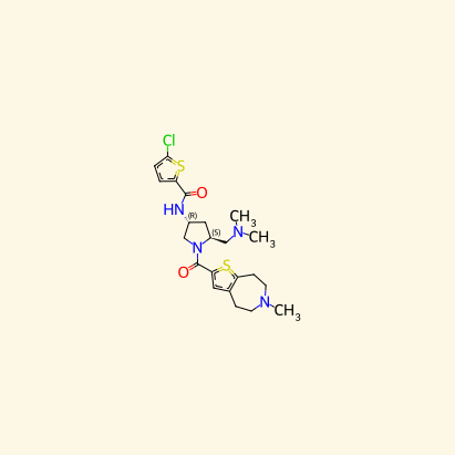 CN(C)C[C@@H]1C[C@@H](NC(=O)c2ccc(Cl)s2)CN1C(=O)c1cc2c(s1)CCN(C)CC2